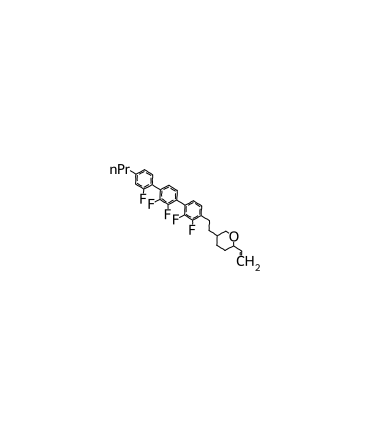 C=CC1CCC(CCc2ccc(-c3ccc(-c4ccc(CCC)cc4F)c(F)c3F)c(F)c2F)CO1